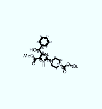 COC(=O)c1[nH]c(N2CCN(C(=O)OC(C)(C)C)CC2)nc1C(O)c1ccccc1